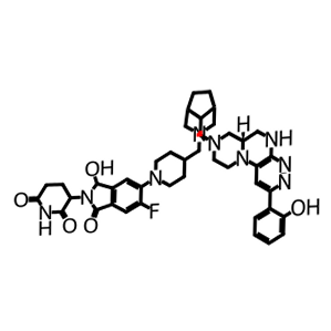 O=C1CCC(N2C(=O)c3cc(F)c(N4CCC(CN5CC6CCC(C5)C6CN5CCN6c7cc(-c8ccccc8O)nnc7NC[C@H]6C5)CC4)cc3C2O)C(=O)N1